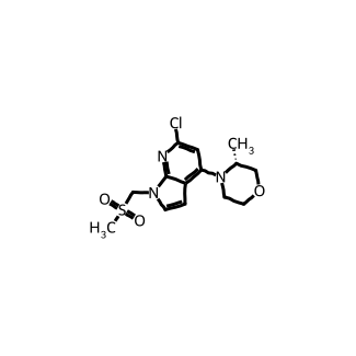 C[C@@H]1COCCN1c1cc(Cl)nc2c1ccn2CS(C)(=O)=O